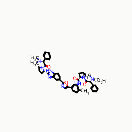 Cc1ccc(-c2cnc(-c3ccc4[nH]c([C@@H]5CCCN5C(=O)[C@@H](c5ccccc5)N(C)C)nc4c3)o2)cc1NC(=O)[C@@H]1CCCN1C(=O)[C@@H](c1ccccc1)N(C)C(=O)O